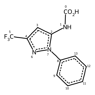 O=C(O)Nc1cc(C(F)(F)F)nn1-c1ccccc1